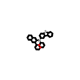 c1ccc(-c2cc3ccccc3cc2N(c2ccccc2)c2ccc3sc4ccccc4c3c2)cc1